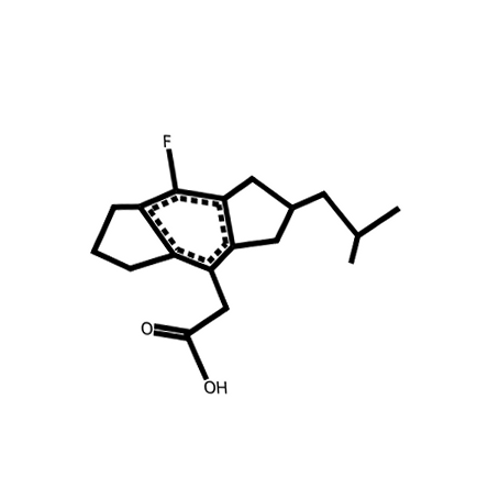 CC(C)CC1Cc2c(F)c3c(c(CC(=O)O)c2C1)CCC3